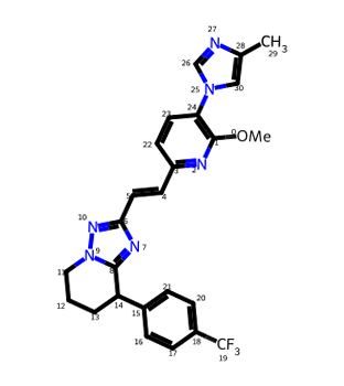 COc1nc(C=Cc2nc3n(n2)CCCC3c2ccc(C(F)(F)F)cc2)ccc1-n1cnc(C)c1